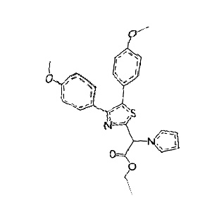 CCOC(=O)C(c1nc(-c2ccc(OC)cc2)c(-c2ccc(OC)cc2)s1)n1cccc1